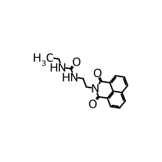 CCNC(=O)NCCN1C(=O)c2cccc3cccc(c23)C1=O